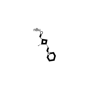 CCCCOC[C@@H]1C[C@H](CCN2CCCCC2)[C@@H]1C